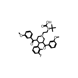 COc1cccc(C(=O)C2CN(CCN(C(=O)O)C(C)(C)C)CC(C(=O)c3cccc(OC)c3)C2c2cccc(F)c2C)c1